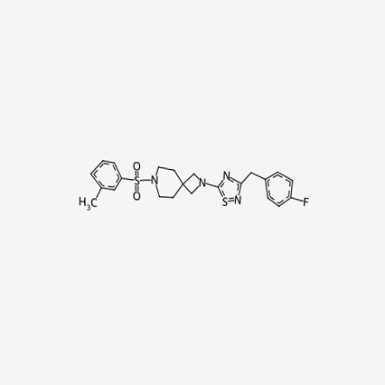 Cc1cccc(S(=O)(=O)N2CCC3(CC2)CN(c2nc(Cc4ccc(F)cc4)ns2)C3)c1